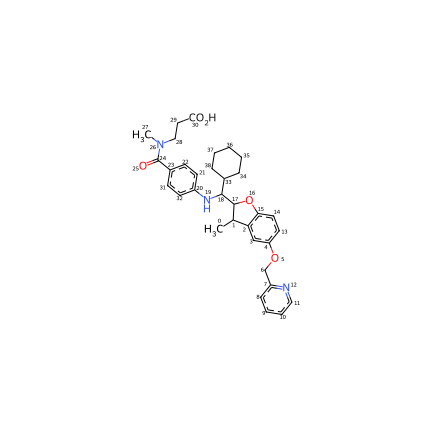 CC1c2cc(OCc3ccccn3)ccc2OC1C(Nc1ccc(C(=O)N(C)CCC(=O)O)cc1)C1CCCCC1